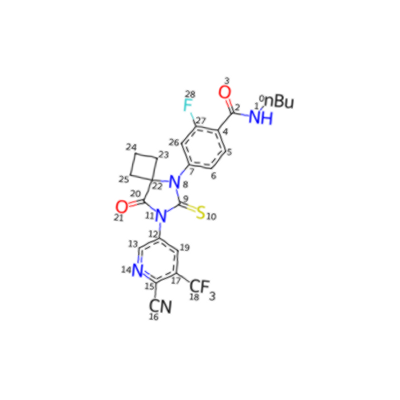 CCCCNC(=O)c1ccc(N2C(=S)N(c3cnc(C#N)c(C(F)(F)F)c3)C(=O)C23CCC3)cc1F